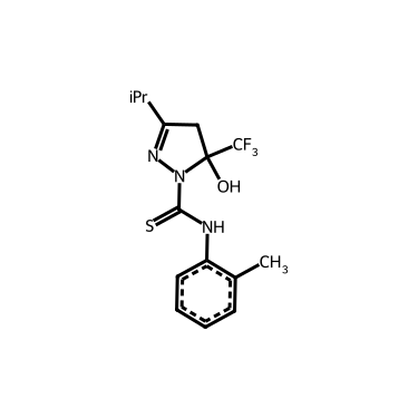 Cc1ccccc1NC(=S)N1N=C(C(C)C)CC1(O)C(F)(F)F